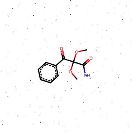 COC(OC)(C(N)=O)C(=O)c1ccccc1